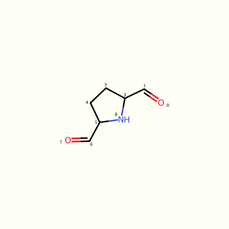 O=CC1CCC(C=O)N1